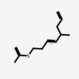 C=CCC(C)/C=C/CCSC(=C)C